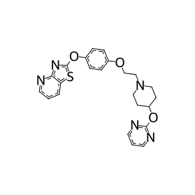 c1cnc(OC2CCN(CCOc3ccc(Oc4nc5ncccc5s4)cc3)CC2)nc1